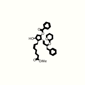 COC(=O)CCC/C=C\C[C@@H]1[C@@H](/C=C/[C@H](Cc2ccccc2)OC2CCCCO2)[C@H](OC(=O)c2ccccc2)C[C@@H]1O